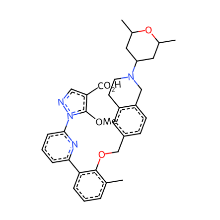 COc1c(C(=O)O)cnn1-c1cccc(-c2cccc(C)c2OCc2ccc3c(c2)CCN(C2CC(C)OC(C)C2)C3)n1